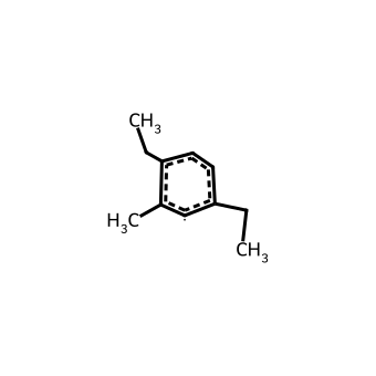 CCc1[c]c(C)c(CC)cc1